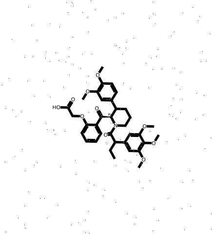 CCC(C(=O)N1CCCC(c2ccc(OC)c(OC)c2)[C@@H]1C(=O)c1ccccc1OCC(=O)O)c1cc(OC)c(OC)c(OC)c1